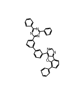 c1ccc(-c2nc(-c3ccccc3)nc(-c3cccc(-c4cccc(-c5ncnc6c5oc5c(-c7ccccc7)cccc56)c4)c3)n2)cc1